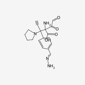 C#CC(c1ccc(C=NN)cc1)(N1CCCC1)C(N)(C(=O)O)C(=O)C=O